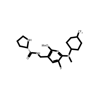 COc1nc(N(C)C2CCC(C(F)(F)F)CC2)c(F)cc1CNC(=O)[C@@H]1CCCN1